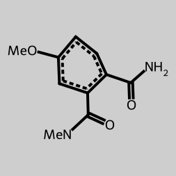 CNC(=O)c1cc(OC)ccc1C(N)=O